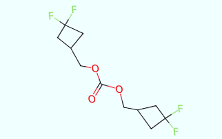 O=C(OCC1CC(F)(F)C1)OCC1CC(F)(F)C1